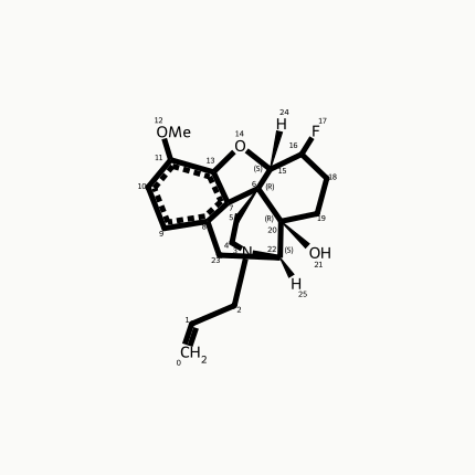 C=CCN1CC[C@@]23c4c5ccc(OC)c4O[C@@H]2C(F)CC[C@]3(O)[C@@H]1C5